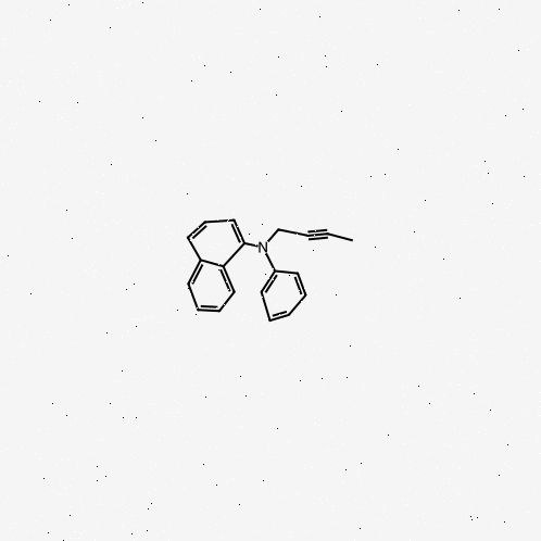 CC#CCN(c1ccccc1)c1cccc2ccccc12